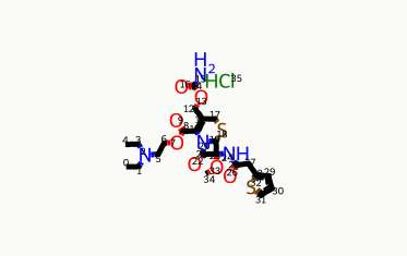 CCN(CC)CCOC(=O)C1=C(COC(N)=O)CSC2N1C(=O)C2(NC(=O)Cc1cccs1)OC.Cl